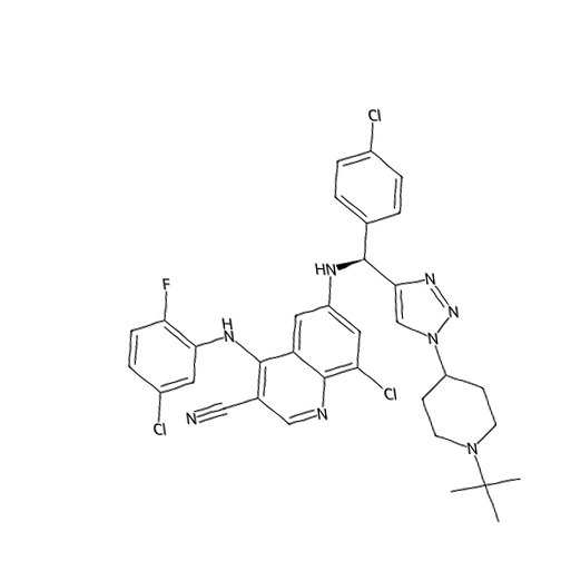 CC(C)(C)N1CCC(n2cc([C@@H](Nc3cc(Cl)c4ncc(C#N)c(Nc5cc(Cl)ccc5F)c4c3)c3ccc(Cl)cc3)nn2)CC1